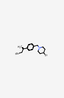 C=C(CC(C)(C)C)c1ccc(CN2CCC(CC)CC2)cc1